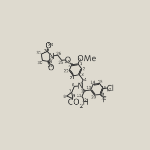 COc1cc(CN(CC2CC2)C(CC(=O)O)c2ccc(Cl)c(F)c2)ccc1OCCN1C(=O)CCC1=O